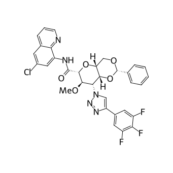 CO[C@@H]1[C@@H](n2cc(-c3cc(F)c(F)c(F)c3)nn2)[C@H]2O[C@@H](c3ccccc3)OC[C@H]2O[C@H]1C(=O)Nc1cc(Cl)cc2cccnc12